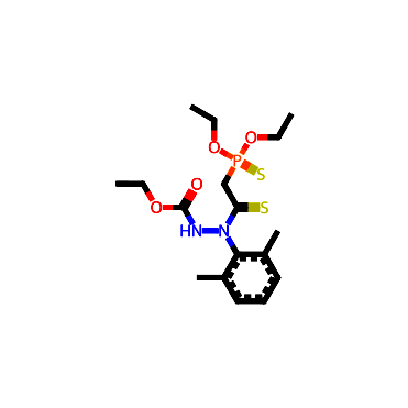 CCOC(=O)NN(C(=S)CP(=S)(OCC)OCC)c1c(C)cccc1C